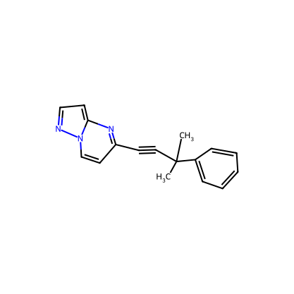 CC(C)(C#Cc1ccn2nccc2n1)c1ccccc1